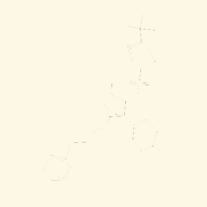 Cc1ccc(-c2c(OCCOc3nccc(Cl)n3)nn(C)c2NS(=O)(=O)c2ccc(C(C)(C)C)cc2)cc1